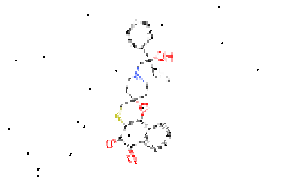 CC(O)(CN1CCC2(CC1)CSC1=C(O2)c2ccccc2C(=O)C1=O)c1ccccc1